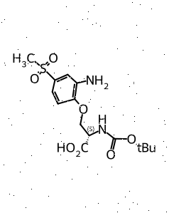 CC(C)(C)OC(=O)N[C@@H](COc1ccc(S(C)(=O)=O)cc1N)C(=O)O